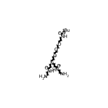 CC(C)(C)OC(=O)NCCCOCCOCCOCCCN(CCC(=O)NCCN)CCC(=O)NCCN